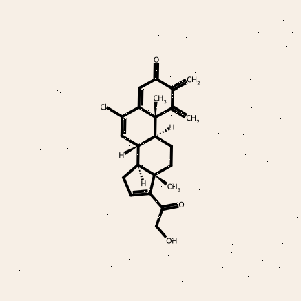 C=C1C(=C)[C@@]2(C)C(=CC1=O)C(Cl)=C[C@@H]1[C@@H]2CC[C@]2(C)C(C(=O)CO)=CC[C@@H]12